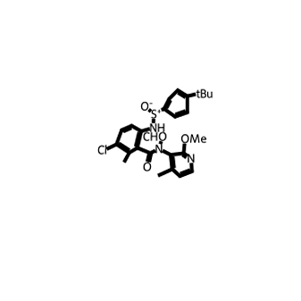 COc1nccc(C)c1N(C=O)C(=O)c1c(N[S+]([O-])c2ccc(C(C)(C)C)cc2)ccc(Cl)c1C